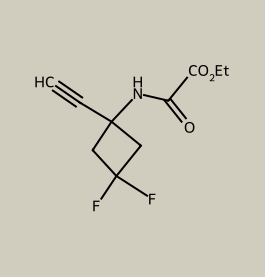 C#CC1(NC(=O)C(=O)OCC)CC(F)(F)C1